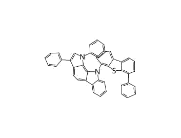 c1ccc(-c2cn(-c3ccccc3)c3c2ccc2c4ccccc4n(-c4cccc5c4sc4c(-c6ccccc6)cccc45)c23)cc1